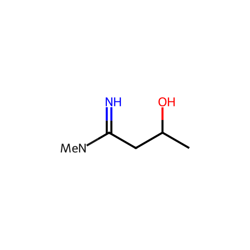 CNC(=N)CC(C)O